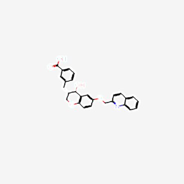 O=C(O)c1cccc(C[C@H]2COc3ccc(OCc4ccc5ccccc5n4)cc3[C@@H]2O)c1